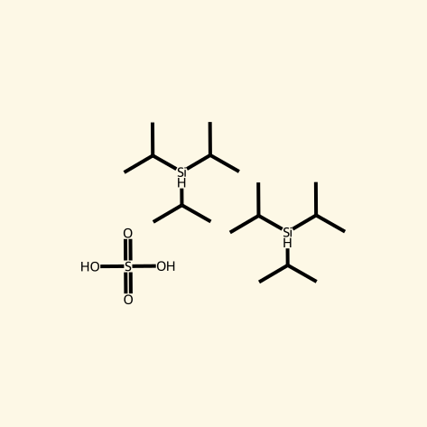 CC(C)[SiH](C(C)C)C(C)C.CC(C)[SiH](C(C)C)C(C)C.O=S(=O)(O)O